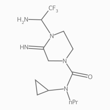 CCCN(C(=O)N1CCN(C(N)C(F)(F)F)C(=N)C1)C1CC1